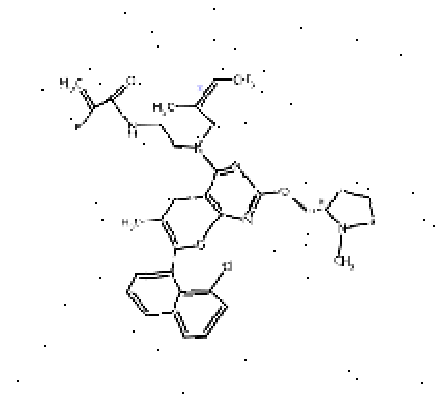 C=C(F)C(=O)NCCN(C/C(C)=C\C)c1nc(OC[C@@H]2CCCN2C)nc2c1CC(C)=C(c1cccc3cccc(Cl)c13)O2